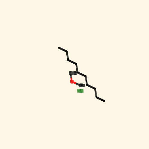 CC(C)(C)OC=O.CCCCCCCCCC.Cl